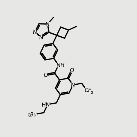 CC1CC(c2cccc(NC(=O)c3cc(CNCC(C)(C)C)cn(CC(F)(F)F)c3=O)c2)(c2nncn2C)C1